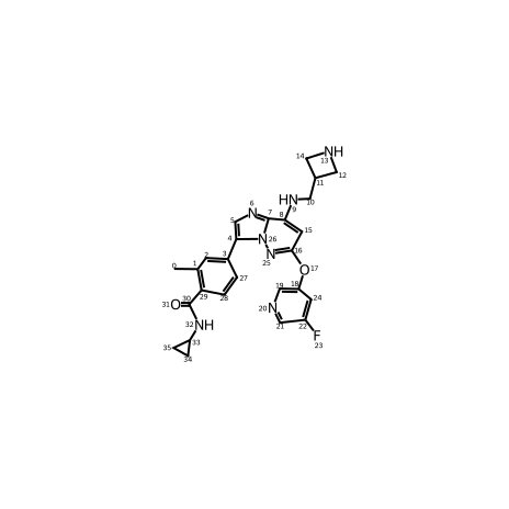 Cc1cc(-c2cnc3c(NCC4CNC4)cc(Oc4cncc(F)c4)nn23)ccc1C(=O)NC1CC1